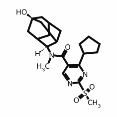 CN(C(=O)c1cnc(S(C)(=O)=O)nc1C1CCCC1)[C@H]1C2CC3CC1C[C@@](O)(C3)C2